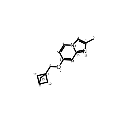 Cc1cn2ccc(OCC34CC(C3)C4)cc2n1